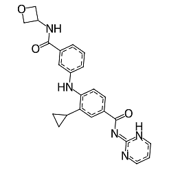 O=C(N=c1nccc[nH]1)c1ccc(Nc2cccc(C(=O)NC3COC3)c2)c(C2CC2)c1